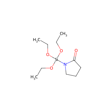 CCO[Si](OCC)(OCC)N1CCCC1=O